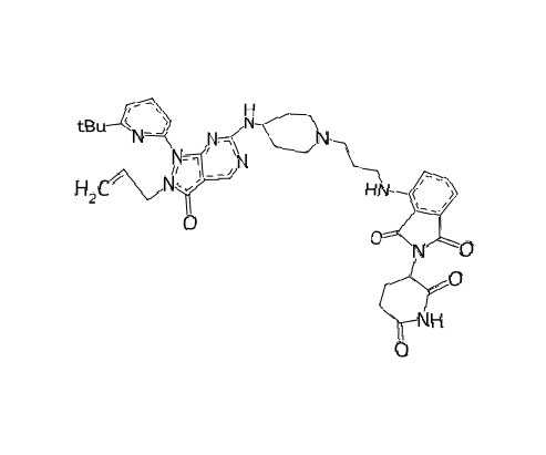 C=CCn1c(=O)c2cnc(NC3CCN(CCCNc4cccc5c4C(=O)N(C4CCC(=O)NC4=O)C5=O)CC3)nc2n1-c1cccc(C(C)(C)C)n1